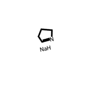 C1=NCCC1.[NaH]